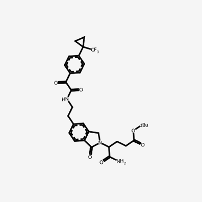 CC(C)(C)OC(=O)CCC(C(N)=O)N1Cc2cc(CCNC(=O)C(=O)c3ccc(C4(C(F)(F)F)CC4)cc3)ccc2C1=O